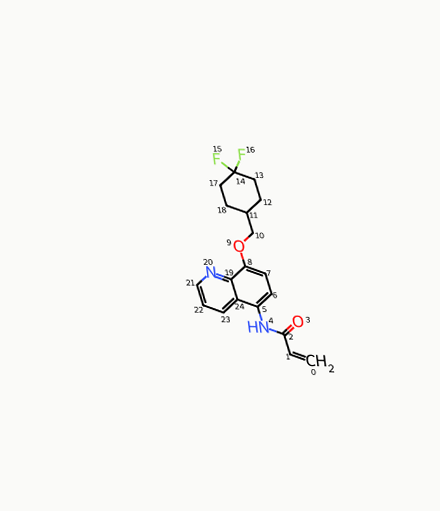 C=CC(=O)Nc1ccc(OCC2CCC(F)(F)CC2)c2ncccc12